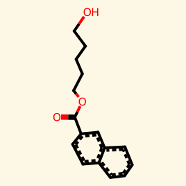 O=C(OCCCCCO)c1ccc2ccccc2c1